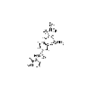 C=N/C(C)=C(\C=C/C)NC(=O)c1ccc2c(c1)N=C(N)CC(C(=O)N(CCC)CCC)=C2